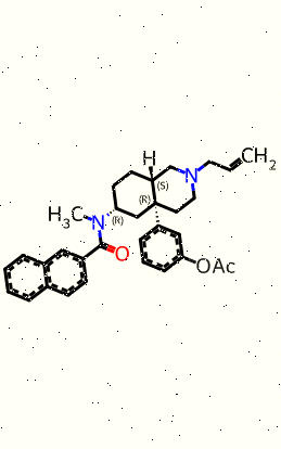 C=CCN1CC[C@@]2(c3cccc(OC(C)=O)c3)C[C@H](N(C)C(=O)c3ccc4ccccc4c3)CC[C@@H]2C1